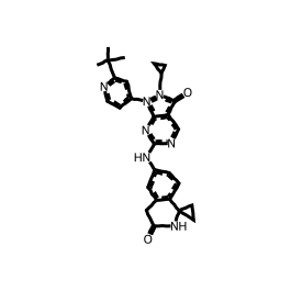 CC(C)(C)c1cc(-n2c3nc(Nc4ccc5c(c4)CC(=O)NC54CC4)ncc3c(=O)n2C2CC2)ccn1